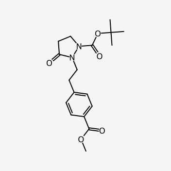 COC(=O)c1ccc(CCN2C(=O)CCN2C(=O)OC(C)(C)C)cc1